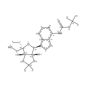 CC[C@]1(CO)O[C@@H](c2ccc3c(NC(=O)OC(C)(C)C)ncnn23)[C@@H]2OC(C)(C)O[C@@H]21